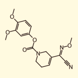 CON=C(C#N)C1=CCCN(C(=O)Oc2ccc(OC)c(OC)c2)C1